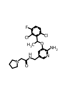 CC(Oc1cc(CNC(=O)CN2CCCC2)cnc1N)c1c(Cl)ccc(F)c1Cl